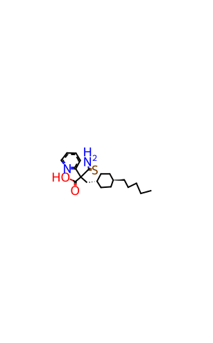 CCCCC[C@H]1CC[C@H](CC(C(=O)O)(C(N)=S)c2ccccn2)CC1